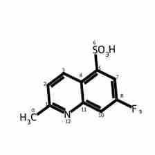 Cc1ccc2c(S(=O)(=O)O)cc(F)cc2n1